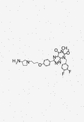 Cn1c(=O)c2nc(-c3ccc(OCCCN4CCC(N)C4)cc3)nnc2n(Cc2ccc(F)c(F)c2)c1=O